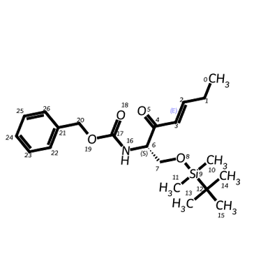 CC/C=C/C(=O)[C@H](CO[Si](C)(C)C(C)(C)C)NC(=O)OCc1ccccc1